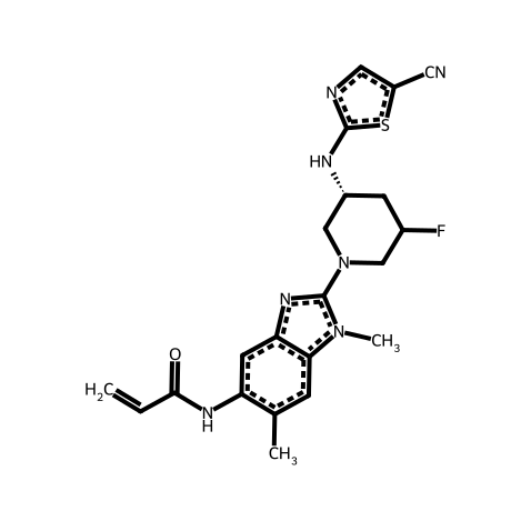 C=CC(=O)Nc1cc2nc(N3CC(F)C[C@@H](Nc4ncc(C#N)s4)C3)n(C)c2cc1C